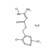 NC(=NC(=O)OCc1cc(C(F)(F)F)ccc1Cl)NCl.O